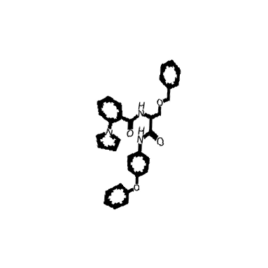 O=C(NC(COCc1ccccc1)C(=O)Nc1ccc(Oc2ccccc2)cc1)c1ccccc1-n1cccc1